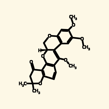 COC1=C2c3cc(OC)c(OC)cc3OC[C@H]2Oc2c1ccc1c2C(=O)CC(C)(C)O1